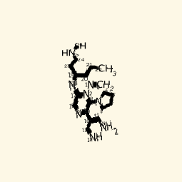 C=Nn1c(N2CCCC2)c(/C(C=N)=C/N)nc/c1=N/C(CCC)CCNS